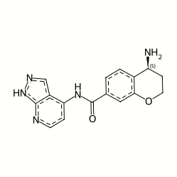 N[C@H]1CCOc2cc(C(=O)Nc3ccnc4[nH]ncc34)ccc21